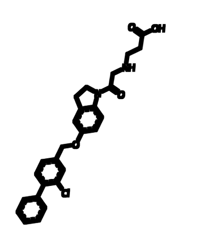 O=C(O)CCNCC(=O)N1CCc2cc(OCc3ccc(-c4ccccc4)c(Cl)c3)ccc21